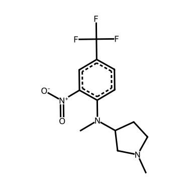 CN1CCC(N(C)c2ccc(C(F)(F)F)cc2[N+](=O)[O-])C1